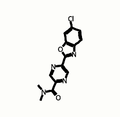 CN(C)C(=O)c1cnc(-c2nc3ccc(Cl)cc3o2)cn1